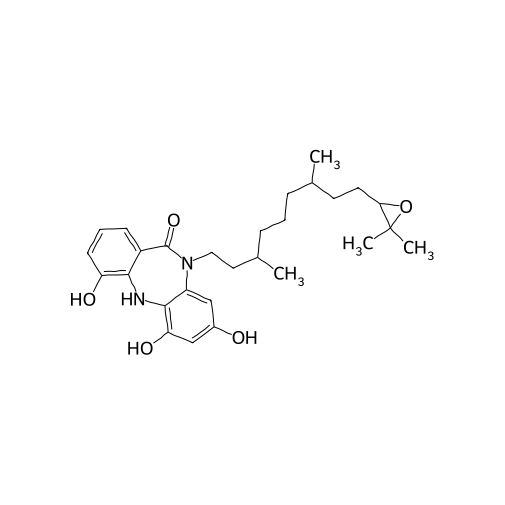 CC(CCCC(C)CCN1C(=O)c2cccc(O)c2Nc2c(O)cc(O)cc21)CCC1OC1(C)C